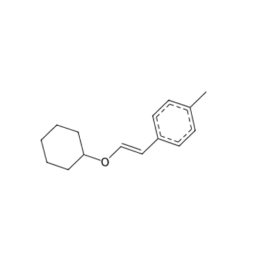 Cc1ccc(C=COC2CCCCC2)cc1